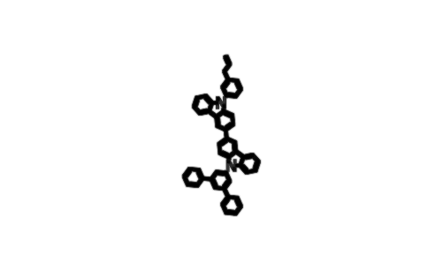 C=CCc1cccc(-n2c3ccccc3c3cc(-c4ccc5c(c4)c4ccccc4n5-c4cc(-c5ccccc5)cc(-c5ccccc5)c4)ccc32)c1